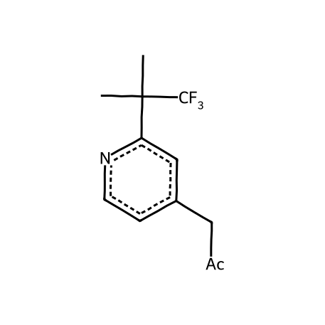 CC(=O)Cc1ccnc(C(C)(C)C(F)(F)F)c1